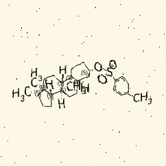 Cc1ccc(S(=O)(=O)O[C@H]2CC[C@@]3(C)[C@H](CC[C@@H]4[C@@H]3CC[C@]3(C)[C@@H](C)CC[C@@H]43)C2)cc1